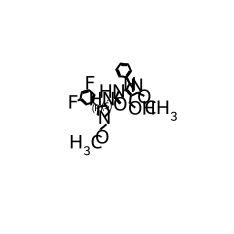 CCOc1nn(-c2ccccc2)c(NC(=O)N[C@@H]2CN(CCOC)C[C@H]2c2cc(F)cc(F)c2)c1CO